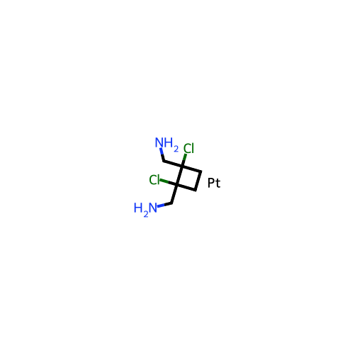 NCC1(Cl)CCC1(Cl)CN.[Pt]